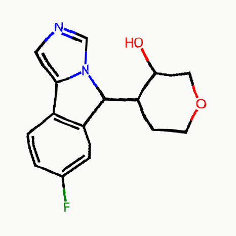 OC1COCCC1C1c2cc(F)ccc2-c2cncn21